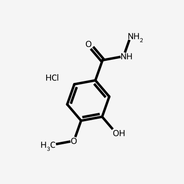 COc1ccc(C(=O)NN)cc1O.Cl